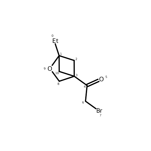 CCC12CC(C(=O)CBr)(CO1)C2